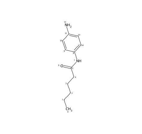 CCCCCC(=O)Nc1ccc(N)cc1